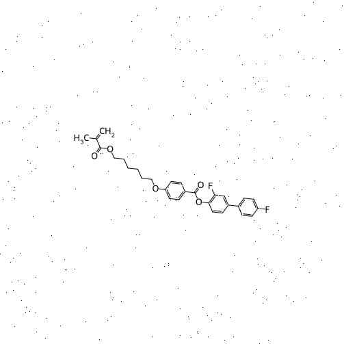 C=C(C)C(=O)OCCCCCCOc1ccc(C(=O)Oc2ccc(-c3ccc(F)cc3)cc2F)cc1